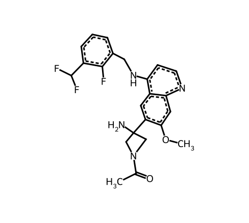 COc1cc2nccc(NCc3cccc(C(F)F)c3F)c2cc1C1(N)CN(C(C)=O)C1